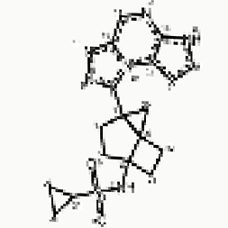 O=S(=O)(NC12CCC3(c4nnc5cnc6[nH]ccc6n45)CC13CC2)C1CC1